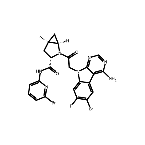 C[C@@]12C[C@@H](C(=O)Nc3cccc(Br)n3)N(C(=O)Cn3c4cc(F)c(Br)cc4c4c(N)ncnc43)[C@@H]1C2